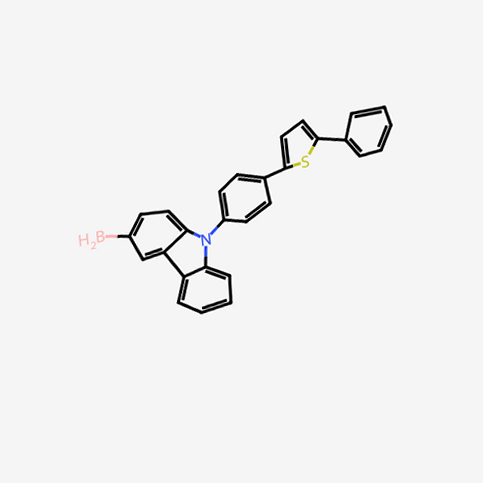 Bc1ccc2c(c1)c1ccccc1n2-c1ccc(-c2ccc(-c3ccccc3)s2)cc1